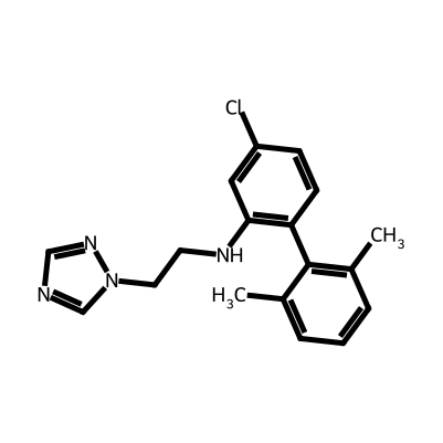 Cc1cccc(C)c1-c1ccc(Cl)cc1NCCn1cncn1